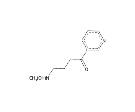 CN(O)CCCC(=O)c1cccnc1